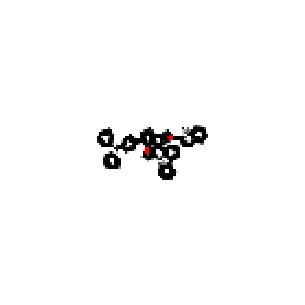 c1ccc(N(c2ccccc2)c2ccc(-c3ccc4c(c3)C3(c5ccccc5B5c6ccccc6-c6cccc3c65)c3cc(-c5ccc6ccccc6n5)ccc3-4)cc2)cc1